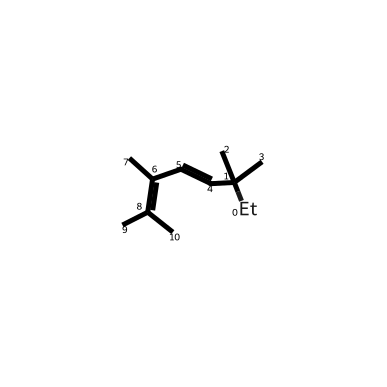 CCC(C)(C)C=CC(C)=C(C)C